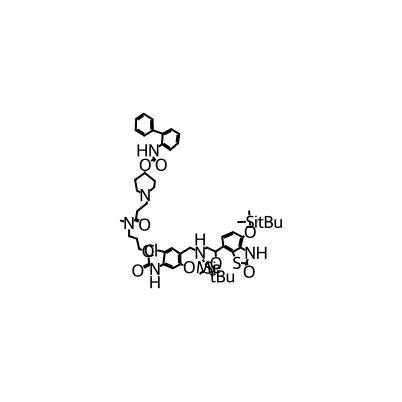 COc1cc(NC(=O)OCCCN(C)C(=O)CCN2CCC(OC(=O)Nc3ccccc3-c3ccccc3)CC2)c(Cl)cc1CNCC(O[Si](C)(C)C(C)(C)C)c1ccc(O[Si](C)(C)C(C)(C)C)c2[nH]c(=O)sc12